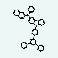 c1ccc(-c2nc(-c3ccccc3)nc(-c3ccc(-n4c5ccccc5c5cc(N(c6ccccc6)c6ccc7ccccc7c6)ccc54)cc3)n2)cc1